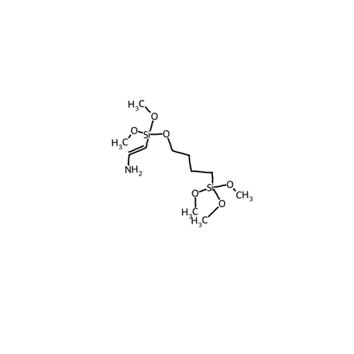 CO[Si](C=CN)(OC)OCCCC[Si](OC)(OC)OC